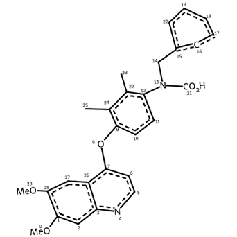 COc1cc2nccc(Oc3ccc(N(Cc4ccccc4)C(=O)O)c(C)c3C)c2cc1OC